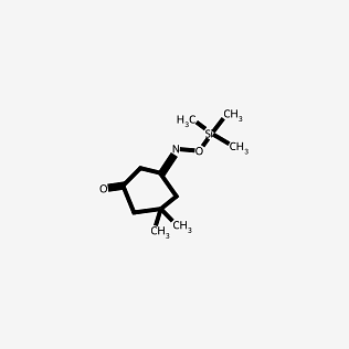 CC1(C)CC(=O)CC(=NO[Si](C)(C)C)C1